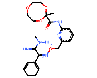 CN(N)C(=N)/C(=N\OCc1cccc(NC(=O)C2(C)OCCOCCO2)n1)C1=CCCC=C1